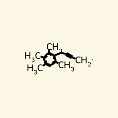 [CH2]C#CCc1c(C)cc(C)c(C)c1C